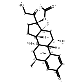 CCC(=O)O[C@]1(C(=O)CO)CC[C@H]2[C@@H]3C[C@H](C)C4=CC(=O)C=C[C@]4(C)[C@H]3[C@@H](O)C[C@@]21C